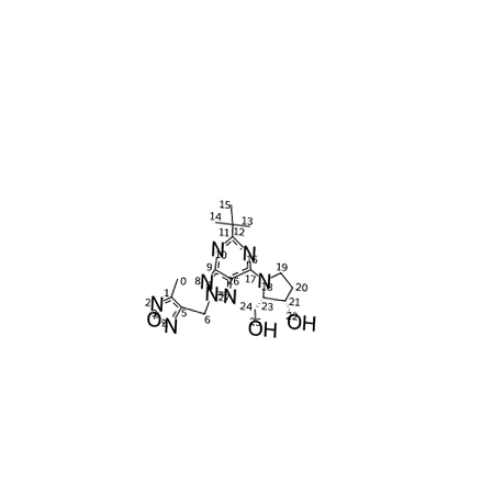 Cc1nonc1Cn1nc2nc(C(C)(C)C)nc(N3CC[C@H](O)[C@@H]3CO)c2n1